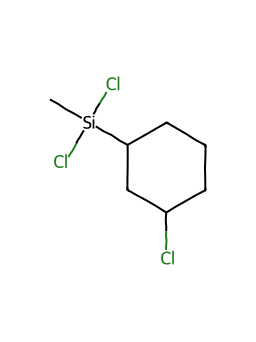 C[Si](Cl)(Cl)C1CCCC(Cl)C1